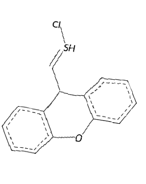 Cl[SH]=CC1c2ccccc2Oc2ccccc21